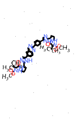 COC(=O)NC(C(=O)N1CCCC1c1ncc(-c2ccc3nc(-c4ccc(-c5cnc(C6CCCN6C(=O)[C@@H](NC(=O)OC)C(C)C)[nH]5)cc4)ncc3c2)[nH]1)C(C)C